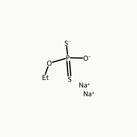 CCOP([O-])(=S)[S-].[Na+].[Na+]